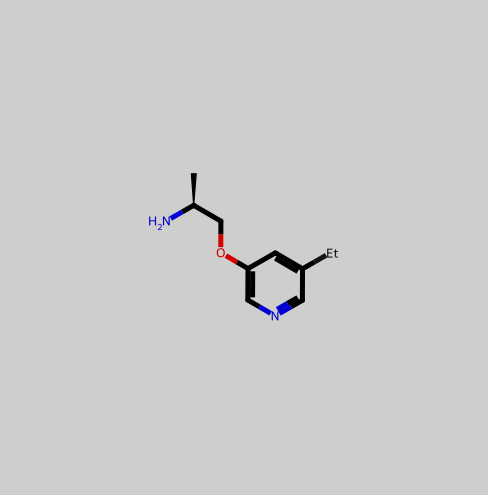 CCc1cncc(OC[C@H](C)N)c1